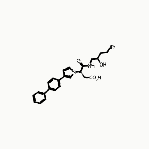 CC(C)CCC(O)CNC(=O)[C@@H](CC(=O)O)n1ccc(-c2ccc(-c3ccccc3)cc2)c1